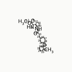 CCOC(=O)C(=N)C1=C(NCC(=O)CCC2CCCC(Oc3ccccc3C)CC2)CCC1